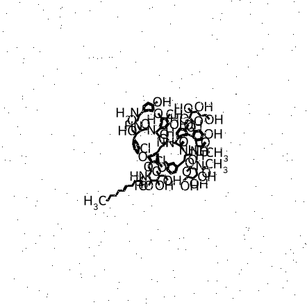 CCCCC/C=C/CCC(=O)NC1C(Oc2c3cc4cc2Oc2ccc(cc2Cl)C(OC2OC(CO)C(O)C(O)C2NC(C)=O)C2NC(=O)C(NC(=O)C4NC(=O)C4NC(=O)C(NC(=O)C(N)c5ccc(O)c(c5)Oc5cc4cc(O)c5C)C(O)c4ccc(c(Cl)c4)O3)c3ccc(O)c(c3)-c3c(OC4OC(CO)C(O)C(O)C4O)cc(O)cc3C(C(=O)OC)NC2=O)OC(CO)C(O)C1O